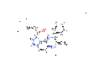 COC(=O)c1nnc2ccc3nc(C)c(-c4ccccc4)nc3n12